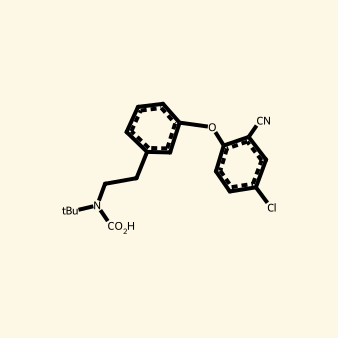 CC(C)(C)N(CCc1cccc(Oc2ccc(Cl)cc2C#N)c1)C(=O)O